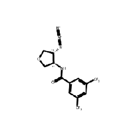 [N-]=[N+]=N[C@H]1COC[C@@H]1NC(=O)c1cc(C(F)(F)F)cc(C(F)(F)F)c1